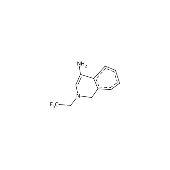 NC1=CN(CC(F)(F)F)Cc2ccccc21